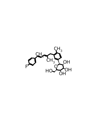 C/C(=C\C=C(/C)c1ccc(F)cc1)Cc1cc([C@@H]2O[C@H](CO)[C@@H](O)[C@H](O)[C@H]2O)ccc1C